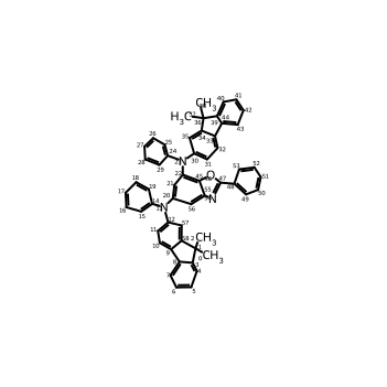 CC1(C)c2ccccc2-c2ccc(N(c3ccccc3)c3cc(N(c4ccccc4)c4ccc5c(c4)C(C)(C)c4ccccc4-5)c4oc(-c5ccccc5)nc4c3)cc21